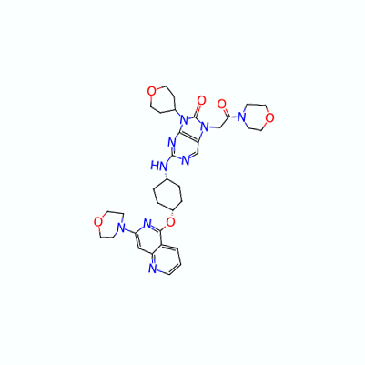 O=C(Cn1c(=O)n(C2CCOCC2)c2nc(N[C@H]3CC[C@@H](Oc4nc(N5CCOCC5)cc5ncccc45)CC3)ncc21)N1CCOCC1